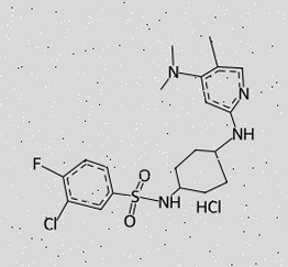 Cc1cnc(NC2CCC(NS(=O)(=O)c3ccc(F)c(Cl)c3)CC2)cc1N(C)C.Cl